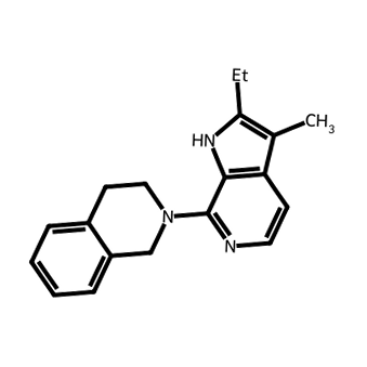 CCc1[nH]c2c(N3CCc4ccccc4C3)nccc2c1C